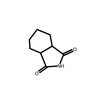 O=C1NC(=O)C2CCC[CH]C12